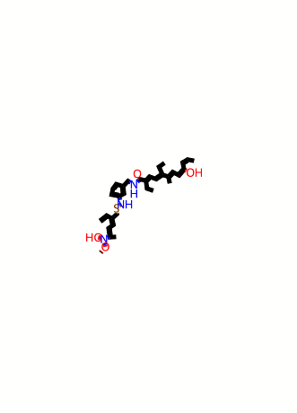 C=C/C(=C\C=C(/C)N(O)OC)CSNc1cccc(CNC(=O)/C(=C/C=C(CC)/C(C)=C/C=C(O)\C=C/C)CC)c1